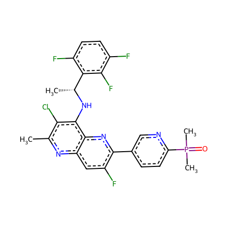 Cc1nc2cc(F)c(-c3ccc(P(C)(C)=O)nc3)nc2c(N[C@H](C)c2c(F)ccc(F)c2F)c1Cl